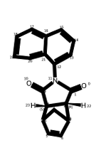 O=C1[C@@H]2C3C=CC(C3)[C@@H]2C(=O)N1c1cccc2ccccc12